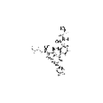 CCCC[S+]([O-])c1sc2nc(-c3nccs3)cc(-c3cccc(C(=O)NCCO)c3)c2c1N